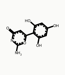 Nc1nc(=O)cc(-c2c(O)cc(O)cc2O)o1